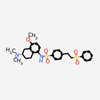 COc1ccc(NS(=O)(=O)c2ccc(CCS(=O)(=O)c3ccccc3)cc2)c2c1C[C@@H](N(C)C)CC2